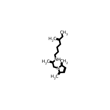 C=C(CC)CCCCNC(=C)Cn1c(=C)ccc1=C